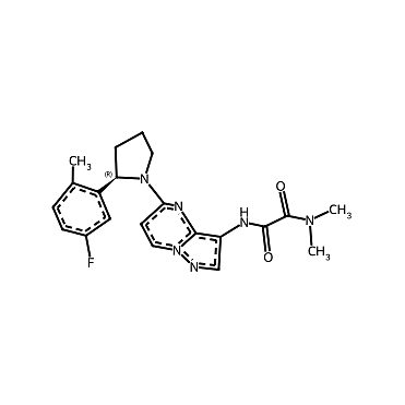 Cc1ccc(F)cc1[C@H]1CCCN1c1ccn2ncc(NC(=O)C(=O)N(C)C)c2n1